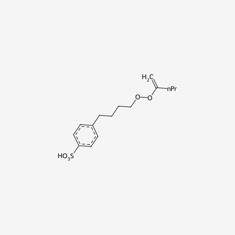 C=C(CCC)OOCCCCc1ccc(S(=O)(=O)O)cc1